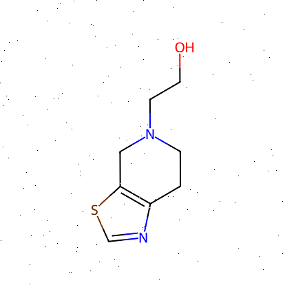 OCCN1CCc2ncsc2C1